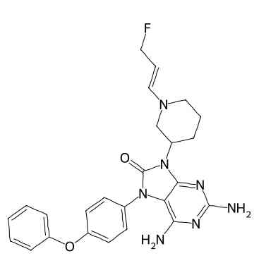 Nc1nc(N)c2c(n1)n(C1CCCN(C=CCF)C1)c(=O)n2-c1ccc(Oc2ccccc2)cc1